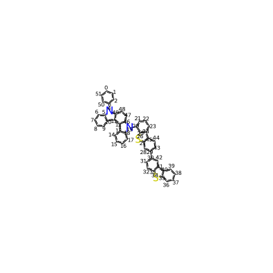 c1ccc(-n2c3ccccc3c3c4c5ccccc5n(-c5cccc6c5sc5cc(-c7ccc8sc9ccccc9c8c7)ccc56)c4ccc32)cc1